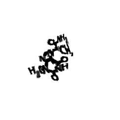 C[C@@H](C(N)=O)n1cnc2c1c(=O)[nH]c(=O)n2C